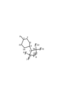 CC1CCC(C(C(F)(F)F)C(F)(F)F)CC1